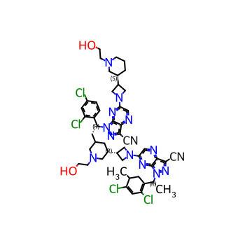 CC1CC([C@@H](C)n2nc(C#N)c3ncc(N4CC([C@H]5CC(C[C@H](c6ccc(Cl)cc6Cl)n6nc(C#N)c7ncc(N8CC([C@@H]9CCCN(CCO)C9)C8)nc76)CN(CCO)C5)C4)nc32)=C(Cl)C=C1Cl